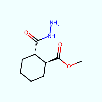 COC(=O)[C@H]1CCCC[C@@H]1C(=O)NN